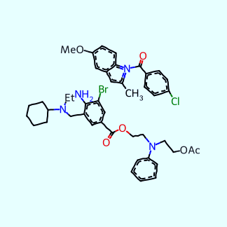 CCN(Cc1cc(C(=O)OCCN(CCOC(C)=O)c2ccccc2)cc(Br)c1N)C1CCCCC1.COc1ccc2c(c1)cc(C)n2C(=O)c1ccc(Cl)cc1